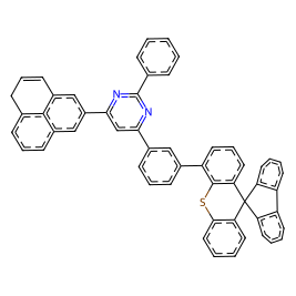 C1=Cc2cc(-c3cc(-c4cccc(-c5cccc6c5Sc5ccccc5C65c6ccccc6-c6ccccc65)c4)nc(-c4ccccc4)n3)cc3cccc(c23)C1